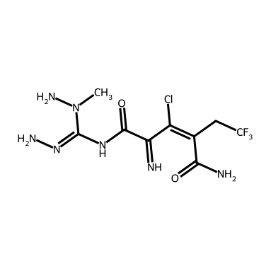 CN(N)/C(=N\N)NC(=O)C(=N)/C(Cl)=C(/CC(F)(F)F)C(N)=O